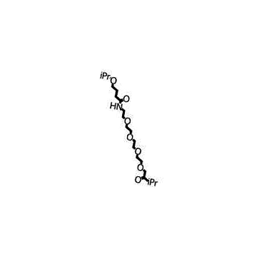 CC(C)OCCCC(=O)NCCOCCOCCOCCOCC(=O)C(C)C